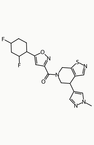 Cn1cc(C2CN(C(=O)c3cc(C4CCC(F)CC4F)on3)Cc3sncc32)cn1